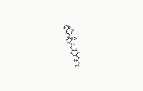 CC(C)CNCc1ccc(COc2scc(-c3ccc4c(c3)OCO4)c2C#N)cc1